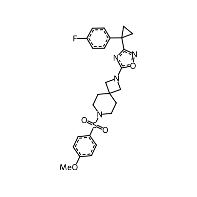 COc1ccc(S(=O)(=O)N2CCC3(CC2)CN(c2nc(C4(c5ccc(F)cc5)CC4)no2)C3)cc1